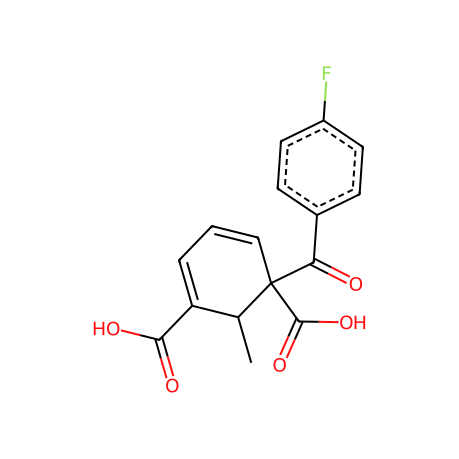 CC1C(C(=O)O)=CC=CC1(C(=O)O)C(=O)c1ccc(F)cc1